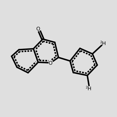 [2H]c1cc([2H])cc(-c2cc(=O)c3ccccc3o2)c1